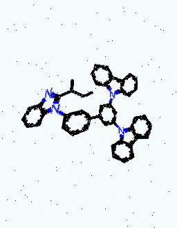 CCC(C)c1nc2ccccc2n1-c1cccc(-c2cc(-n3c4ccccc4c4ccccc43)cc(-n3c4ccccc4c4ccccc43)c2)c1